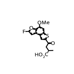 COc1cc2sc(C(=O)C[C@@H](C)C(=O)O)cc2c2cc(F)oc12